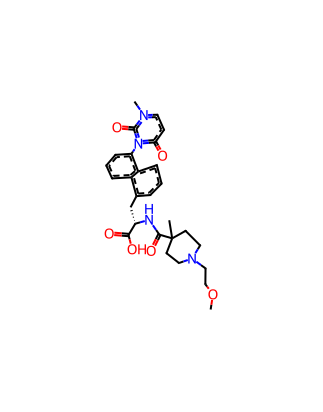 COCCN1CCC(C)(C(=O)N[C@@H](Cc2cccc3c(-n4c(=O)ccn(C)c4=O)cccc23)C(=O)O)CC1